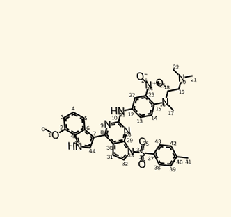 COc1cccc2c(-c3nc(Nc4ccc(N(C)CCN(C)C)c([N+](=O)[O-])c4)nc4c3ccn4S(=O)(=O)c3ccc(C)cc3)c[nH]c12